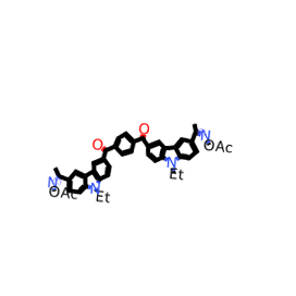 CCn1c2ccc(C(=O)c3ccc(C(=O)c4ccc5c(c4)c4cc(/C(C)=N\OC(C)=O)ccc4n5CC)cc3)cc2c2cc(/C(C)=N\OC(C)=O)ccc21